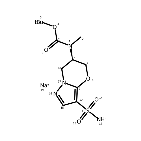 CN(C(=O)OC(C)(C)C)[C@H]1COc2c(S([NH-])(=O)=O)cnn2C1.[Na+]